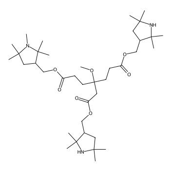 COC(CCC(=O)OCC1CC(C)(C)NC1(C)C)(CCC(=O)OCC1CC(C)(C)N(C)C1(C)C)CC(=O)OCC1CC(C)(C)NC1(C)C